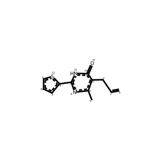 C=CCc1c(C)nc(-c2cccs2)[nH]c1=O